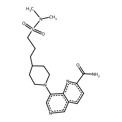 CN(C)S(=O)(=O)CCCC1CCN(c2cncc3ccc(C(N)=O)nc23)CC1